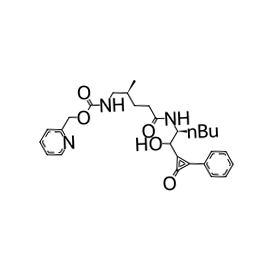 CCCC[C@H](NC(=O)CC[C@H](C)CNC(=O)OCc1ccccn1)C(O)c1c(-c2ccccc2)c1=O